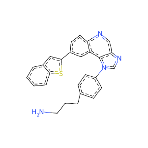 NCCCc1ccc(-n2cnc3cnc4ccc(-c5cc6ccccc6s5)cc4c32)cc1